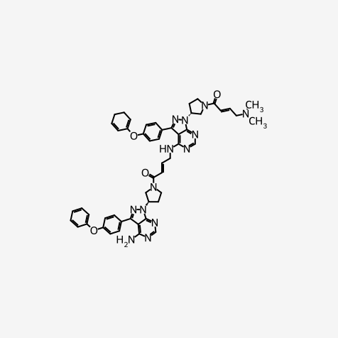 CN(C)C/C=C/C(=O)N1CC[C@@H](n2nc(-c3ccc(OC4=CCCC=C4)cc3)c3c(NC/C=C/C(=O)N4CC[C@@H](n5nc(-c6ccc(Oc7ccccc7)cc6)c6c(N)ncnc65)C4)ncnc32)C1